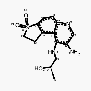 C[C@@H](O)CNc1c(N)cnc2ccc3c(c12)CCS3(=O)=O